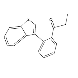 CCC(=O)c1ccccc1-c1csc2ccccc12